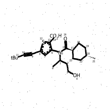 CC(CCO)N(c1cc(C#CC(C)(C)C)sc1C(=O)O)C(=O)[C@H]1CC[C@H](C)CC1